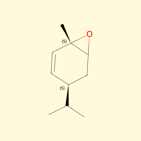 CC(C)[C@H]1C=C[C@]2(C)OC2C1